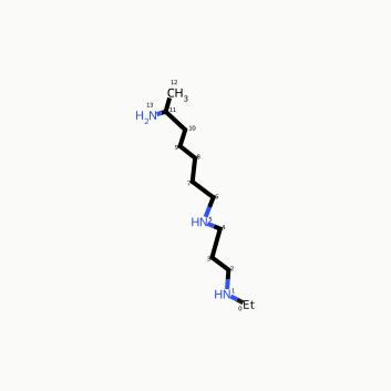 CCNCCCNCCCCCC(C)N